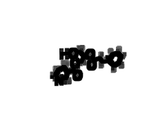 O=C(CCc1ccccc1)OC(CO)COC(=O)c1cccnc1